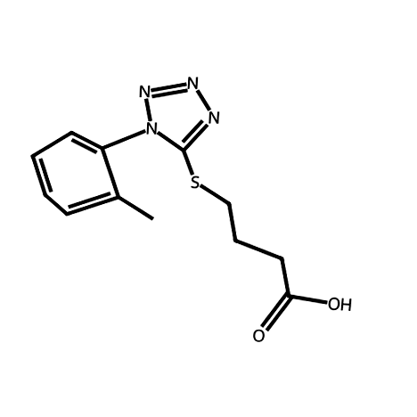 Cc1ccccc1-n1nnnc1SCCCC(=O)O